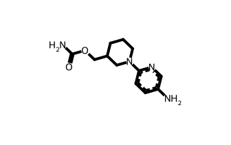 NC(=O)OCC1CCCN(c2ccc(N)cn2)C1